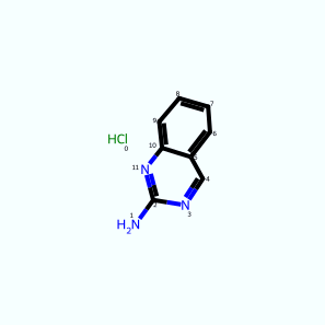 Cl.Nc1ncc2ccccc2n1